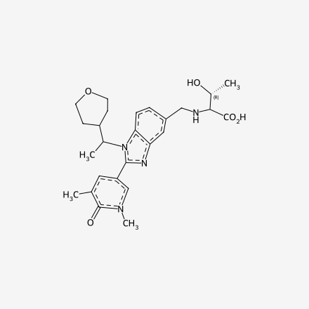 Cc1cc(-c2nc3cc(CNC(C(=O)O)[C@@H](C)O)ccc3n2C(C)C2CCOCC2)cn(C)c1=O